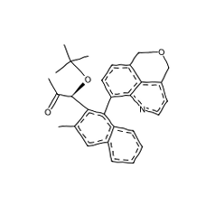 CC(=O)[C@@H](OC(C)(C)C)c1c(C)cc2ccccc2c1-c1ccc2c3c(ccnc13)COC2